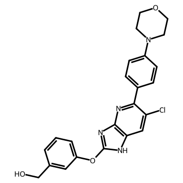 OCc1cccc(Oc2nc3nc(-c4ccc(N5CCOCC5)cc4)c(Cl)cc3[nH]2)c1